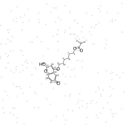 CC(C)C(=O)OCCCCCCOC1=CC(O)Oc2ccc(Cl)cc21